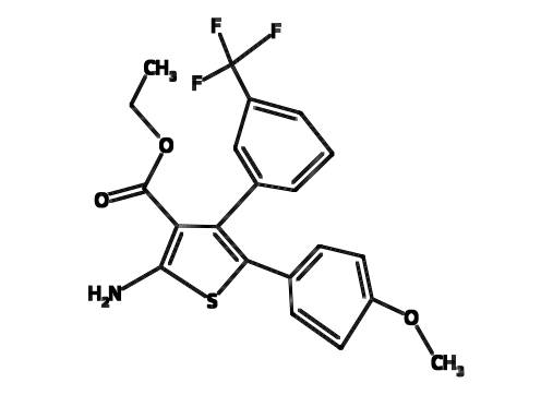 CCOC(=O)c1c(N)sc(-c2ccc(OC)cc2)c1-c1cccc(C(F)(F)F)c1